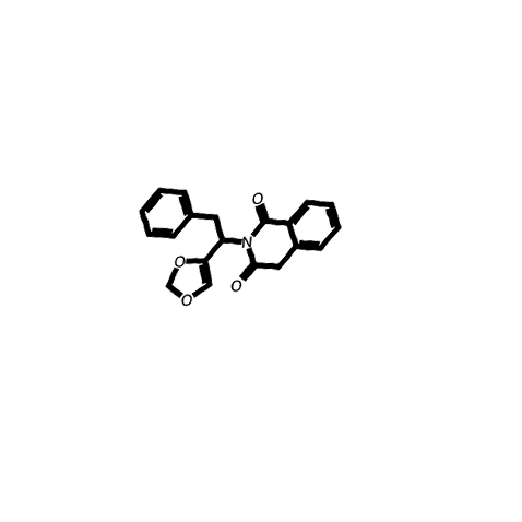 O=C1Cc2ccccc2C(=O)N1C(Cc1ccccc1)C1=COCO1